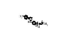 CN(C)CCNS(=O)(=O)c1ccc(Nc2nccc(-c3ccc([N+](=O)[O-])cc3)n2)cc1